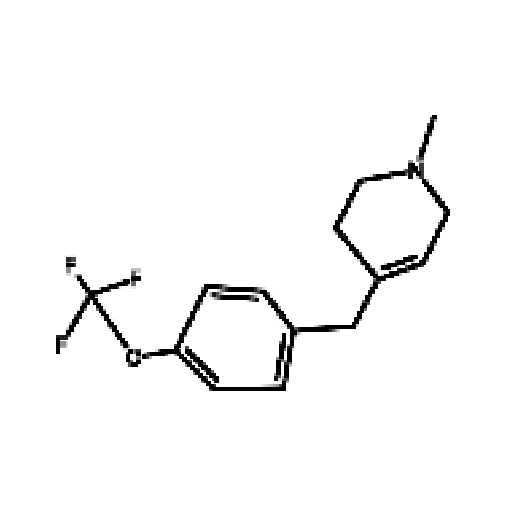 CN1CC=C(Cc2ccc(OC(F)(F)F)cc2)CC1